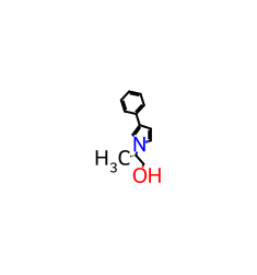 C[C@@H](CO)n1ccc(-c2ccccc2)c1